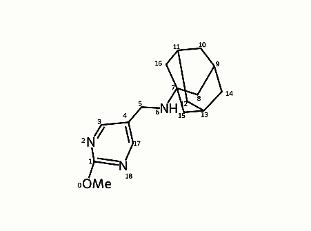 COc1ncc(CNC23CC4CC(CC(C4)C2)C3)cn1